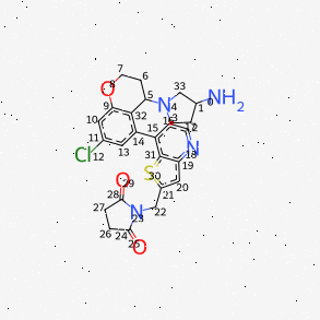 NC1CCN(C2CCOc3cc(Cl)cc(-c4ccnc5cc(CN6C(=O)CCC6=O)sc45)c32)C1